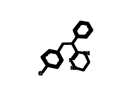 Clc1ccc(CC(C2=NNCCN2)c2ccccc2)cc1